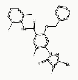 CCc1nn(-c2cc(OCc3ccccc3)c(C(=O)Nc3c(C)cccc3F)cc2F)c(=O)n1C